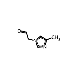 Cc1cn(CC=O)cn1